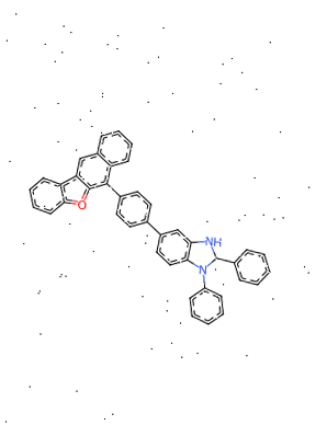 c1ccc(C2Nc3cc(-c4ccc(-c5c6ccccc6cc6c5oc5ccccc56)cc4)ccc3N2c2ccccc2)cc1